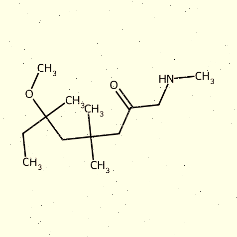 CCC(C)(CC(C)(C)CC(=O)CNC)OC